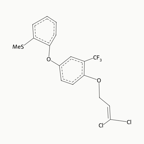 CSc1ccccc1Oc1ccc(OCC=C(Cl)Cl)c(C(F)(F)F)c1